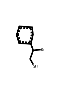 SCC(Br)c1ccccc1